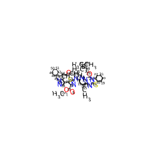 CCOC(=O)c1nc(N(C)c2cc(C)c(N=c3sc4ccccc4n3COCC[Si](C)(C)C)nn2)sc1-c1cnn(CC2(CCCOC)CCCCC2)c1C